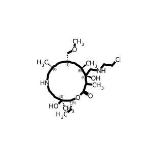 CC[C@H]1OC(=O)C(C)[C@@](O)(CNCCCl)[C@H](C)C[C@@H](COC)C[C@@H](C)CNCC[C@]1(C)O